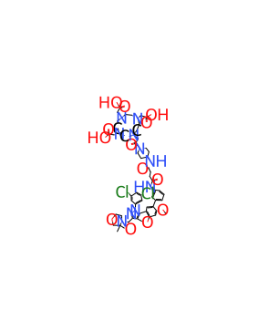 COc1cc2c(cc1-c1cccc(NC(=O)CCC(=O)NC3CCN(C(=O)CN4CCN(CC(=O)O)CCN(CC(=O)O)CCN(CC(=O)O)CC4)CC3)c1)-c1c(c(C(=O)N3CCOCC3(C)C)nn1-c1cc(Cl)cc(Cl)c1)CO2